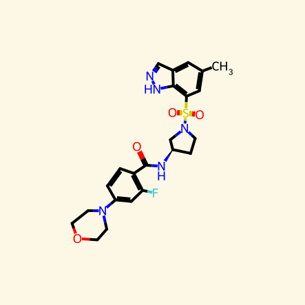 Cc1cc(S(=O)(=O)N2CC[C@@H](NC(=O)c3ccc(N4CCOCC4)cc3F)C2)c2[nH]ncc2c1